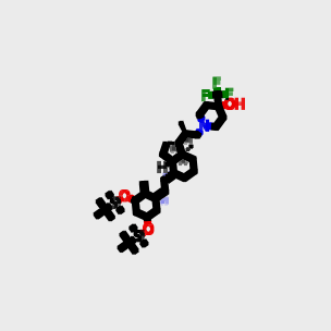 C=C1/C(=C\C=C2/CCC[C@]3(C)[C@@H]([C@@H](C)CN4CCC(O)(C(F)(F)F)CC4)CC[C@@H]23)CC(O[Si](C)(C)C(C)(C)C)CC1O[Si](C)(C)C(C)(C)C